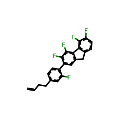 C=CCCc1ccc(-c2cc3c(c(F)c2F)-c2c(ccc(F)c2F)C3)c(F)c1